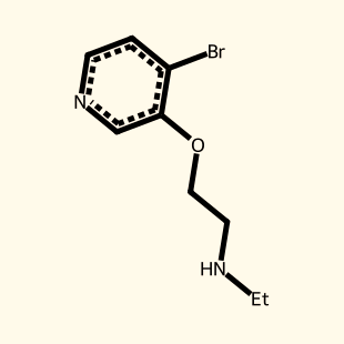 CCNCCOc1cnccc1Br